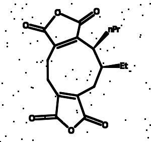 CCC[C@@H]1C2=C(CCC3=C(C[C@@H]1CC)C(=O)OC3=O)C(=O)OC2=O